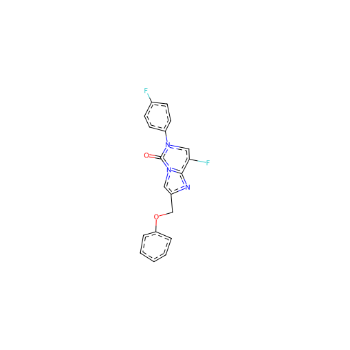 O=c1n(-c2ccc(F)cc2)cc(F)c2nc(COc3ccccc3)cn12